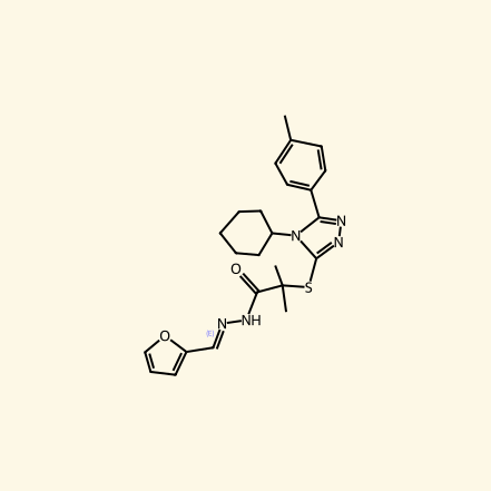 Cc1ccc(-c2nnc(SC(C)(C)C(=O)N/N=C/c3ccco3)n2C2CCCCC2)cc1